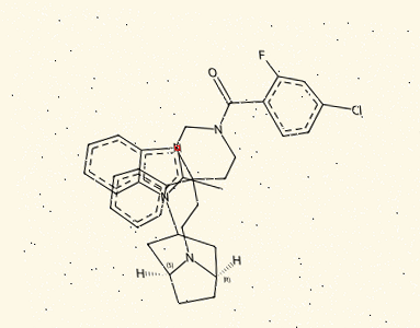 Cc1nc2ccccc2n1C1C[C@H]2CC[C@@H](C1)N2CCC1(c2ccccc2)CCN(C(=O)c2ccc(Cl)cc2F)CC1